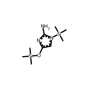 C[Si](C)(C)Oc1cn([Si](C)(C)C)c(N)n1